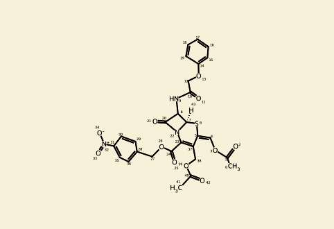 CC(=O)O/C=C1/S[C@@H]2C(NC(=O)COc3ccccc3)C(=O)N2C(C(=O)OCc2ccc([N+](=O)[O-])cc2)=C1COC(C)=O